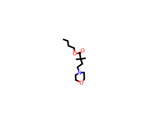 CCCCOC(=O)C(C)(C)CCN1CCOCC1